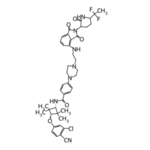 CC(F)(F)C1CCC(N2C(=O)c3cccc(NCCN4CCN(c5ccc(C(=O)N[C@H]6C(C)(C)[C@H](Oc7ccc(C#N)c(Cl)c7)C6(C)C)cc5)CC4)c3C2=O)C(=O)N1